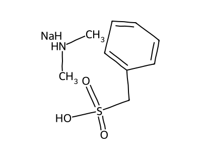 CNC.O=S(=O)(O)Cc1ccccc1.[NaH]